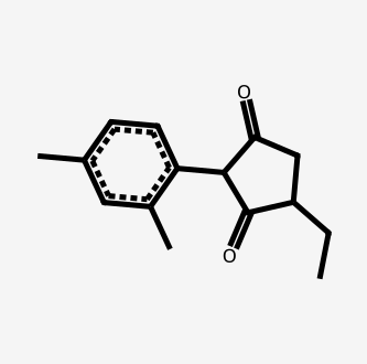 CCC1CC(=O)C(c2ccc(C)cc2C)C1=O